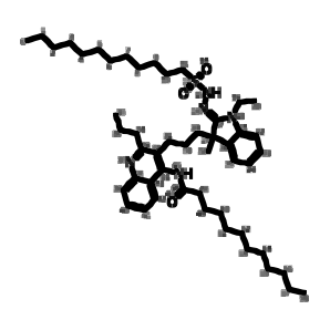 CCCCCCCCCCCCS(=O)(=O)N/N=C1\N(CC)c2ccccc2C1(C)CCCc1c(CCC)nc2ccccc2c1NC(=O)CCCCCCCCCCC